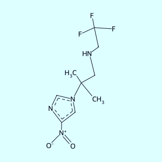 CC(C)(CNCC(F)(F)F)n1cnc([N+](=O)[O-])c1